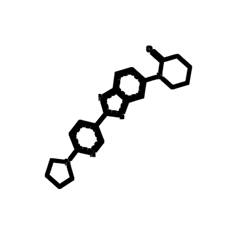 O=C1CCCCN1c1ccc2nc(-c3ccc(N4CCCC4)nc3)sc2c1